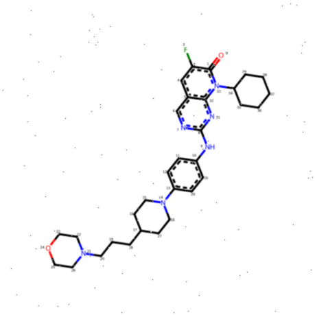 O=c1c(F)cc2cnc(Nc3ccc(N4CCC(CCCN5CCOCC5)CC4)cc3)nc2n1C1CCCCC1